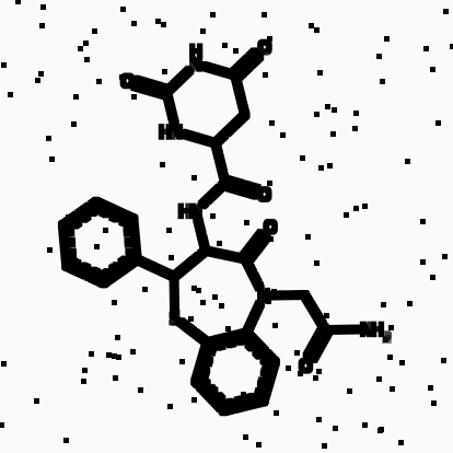 NC(=O)CN1C(=O)C(NC(=O)C2CC(=O)NC(=O)N2)C(c2ccccc2)Sc2ccccc21